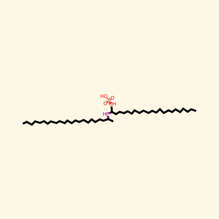 CCCCCCCCCCCCCCCCCCCCCC(C)PC(C)CCCCCCCCCCCCCCCCCCCCC.O=S(=O)(O)O